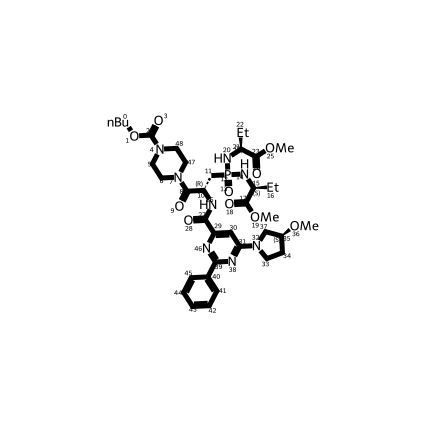 CCCCOC(=O)N1CCN(C(=O)[C@H](CP(=O)(N[C@@H](CC)C(=O)OC)N[C@@H](CC)C(=O)OC)NC(=O)c2cc(N3CC[C@H](OC)C3)nc(-c3ccccc3)n2)CC1